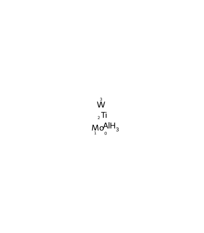 [AlH3].[Mo].[Ti].[W]